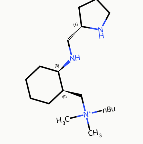 CCCC[N+](C)(C)C[C@H]1CCCC[C@H]1NC[C@@H]1CCCN1